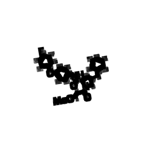 COCCC(=O)N1C[C@H](Cc2ccccc2)C[C@H]1C(=O)Nc1ccc(Oc2ccc(F)cc2)cc1